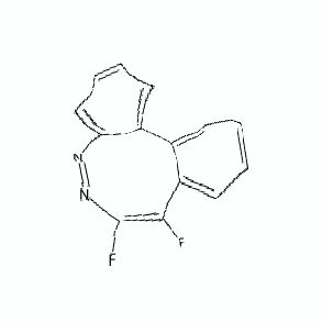 FC1=C(F)c2ccccc2-c2ccccc2/N=N\1